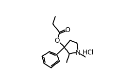 CCC(=O)OC1(c2ccccc2)CCN(C)C1C.Cl